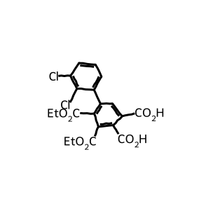 CCOC(=O)c1c(-c2cccc(Cl)c2Cl)cc(C(=O)O)c(C(=O)O)c1C(=O)OCC